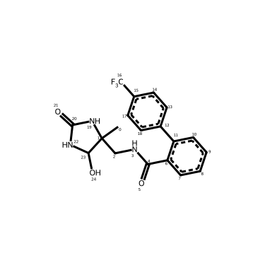 CC1(CNC(=O)c2ccccc2-c2ccc(C(F)(F)F)cc2)NC(=O)NC1O